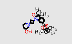 CC1(C)C(=O)N(C2CC(N3CCC[C@@H](O)C3)C2)c2cc(B3OC(C)(C)C(C)(C)O3)ccc21